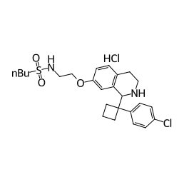 CCCCS(=O)(=O)NCCOc1ccc2c(c1)C(C1(c3ccc(Cl)cc3)CCC1)NCC2.Cl